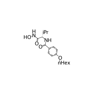 CCCCCCOc1ccc(C(=O)N[C@H](C(=O)NO)C(C)C)cc1